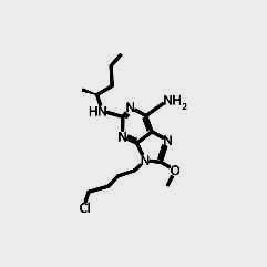 CCC[C@H](C)Nc1nc(N)c2nc(OC)n(CCCCCl)c2n1